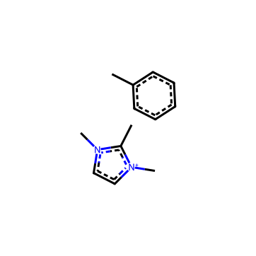 Cc1ccccc1.Cc1n(C)cc[n+]1C